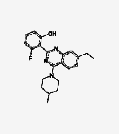 CCc1ccc2c(N3CCC(C)CC3)nc(-c3c(O)cccc3F)nc2c1